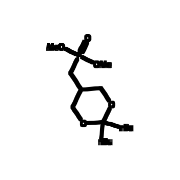 CCCCC1(CCCC)OCC(CP(=O)(OC)OC)CO1